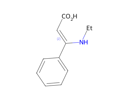 CCN/C(=C\C(=O)O)c1ccccc1